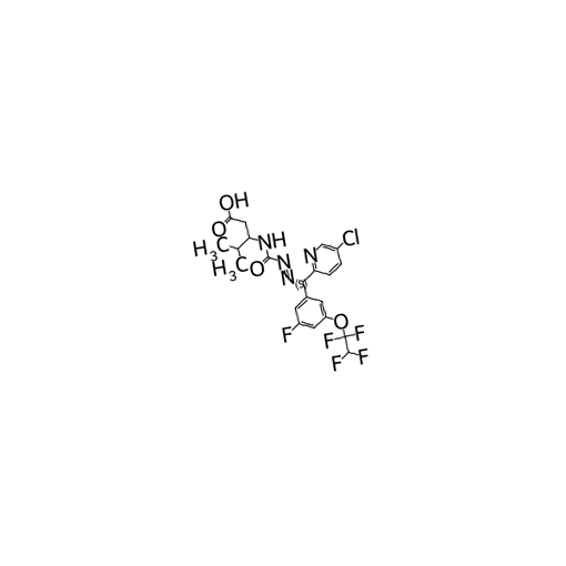 CC(C)C(CC(=O)O)NC(=O)N=N[C@@H](c1cc(F)cc(OC(F)(F)C(F)F)c1)c1ccc(Cl)cn1